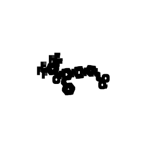 COC(=O)CCN1CCC(N2CCN(C3CCN(C(=O)c4cc(C(F)(F)F)cc(C(F)(F)F)c4)C(Cc4ccccc4)C3)CC2)C1